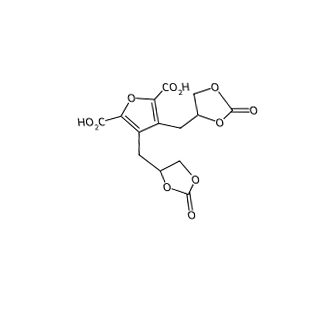 O=C1OCC(Cc2c(C(=O)O)oc(C(=O)O)c2CC2COC(=O)O2)O1